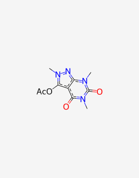 CC(=O)Oc1c2c(=O)n(C)c(=O)n(C)c2nn1C